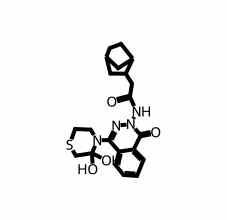 O=C(CC1CC2CCC1C2)Nn1nc(N2CCSCC2(O)O)c2ccccc2c1=O